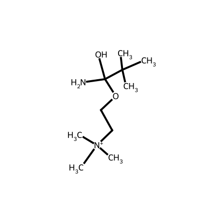 CC(C)(C)C(N)(O)OCC[N+](C)(C)C